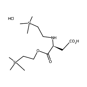 C[Si](C)(C)CCN[C@@H](CC(=O)O)C(=O)OCC[Si](C)(C)C.Cl